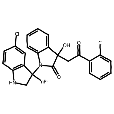 CCCC1(N2C(=O)C(O)(CC(=O)c3ccccc3Cl)c3ccccc32)CNc2ccc(Cl)cc21